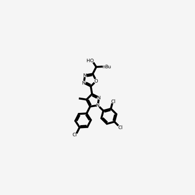 CCCCC(O)c1nnc(-c2nn(-c3ccc(Cl)cc3Cl)c(-c3ccc(Cl)cc3)c2C)o1